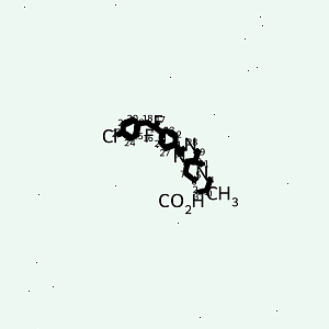 CC(CC(=O)O)CN1CCc2nc(-c3ccc(C(F)(F)Cc4ccc(Cl)cc4)cc3)ncc2C1